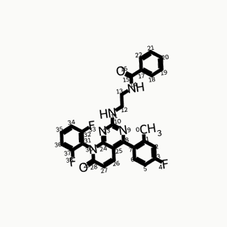 Cc1cc(F)ccc1-c1nc(NCCNC(=O)c2ccccc2)nc2c1ccc(=O)n2-c1c(F)cccc1F